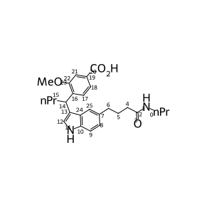 CCCNC(=O)CCCc1ccc2[nH]cc(C(CCC)c3ccc(C(=O)O)cc3OC)c2c1